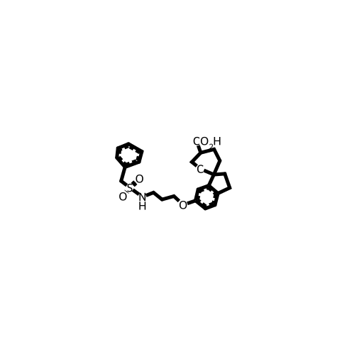 O=C(O)C1CCC2(CCc3ccc(OCCCNS(=O)(=O)Cc4ccccc4)cc32)CC1